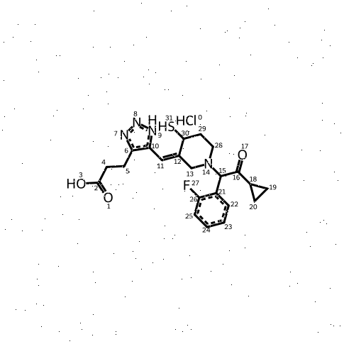 Cl.O=C(O)CCc1nn[nH]c1/C=C1/CN(C(C(=O)C2CC2)c2ccccc2F)CCC1S